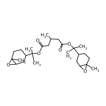 CC(CC(=O)OC(C)(C)C1CCC2(C)OC2C1)CC(=O)OC(C)(C)C1CCC2(C)OC2C1